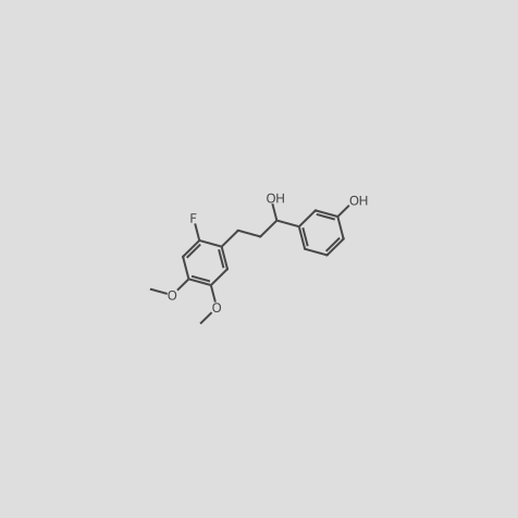 COc1cc(F)c(CCC(O)c2cccc(O)c2)cc1OC